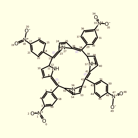 O=[N+]([O-])c1ccc(/C2=C3\C=CC(N3)/C(c3ccc([N+](=O)[O-])cc3)=c3/cc/c([nH]3)=C(\c3ccc([N+](=O)[O-])cc3)C3C=C/C(=C(\c4ccc([N+](=O)[O-])cc4)c4ccc2[nH]4)N3)cc1